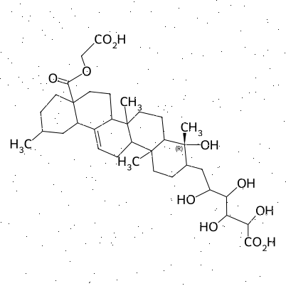 CC1CCC2(C(=O)OCC(=O)O)CCC3C(=CCC4C3(C)CCC3C4(C)CCC(CC(O)C(O)C(O)C(O)C(=O)O)[C@@]3(C)O)C2C1